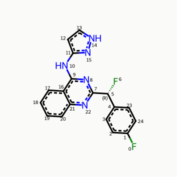 Fc1ccc([C@@H](F)c2nc(Nc3cc[nH]n3)c3ccccc3n2)cc1